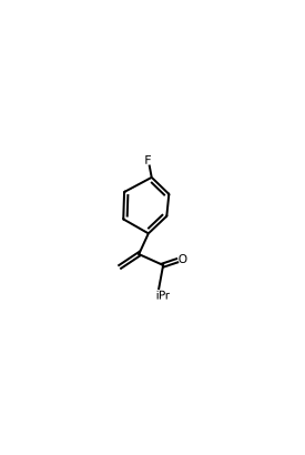 C=C(C(=O)C(C)C)c1ccc(F)cc1